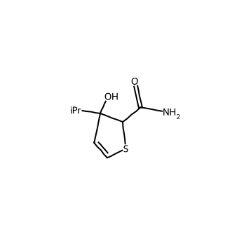 CC(C)C1(O)C=CSC1C(N)=O